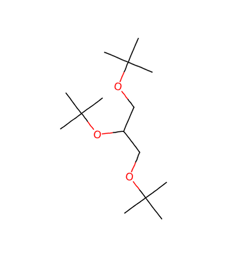 CC(C)(C)OCC(COC(C)(C)C)OC(C)(C)C